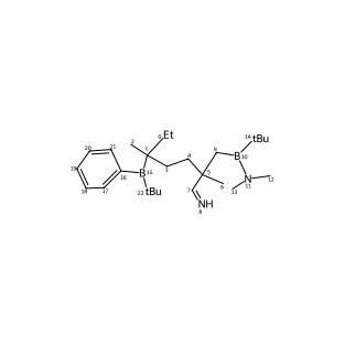 CCC(C)(CCC(C)(C=N)CB(N(C)C)C(C)(C)C)B(c1ccccc1)C(C)(C)C